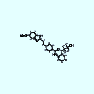 COc1ccc2[nH]c(SCc3ccc(C(=O)Nc4ccccc4CC(C)(C)[Si](C)(C)O)cc3)nc2c1